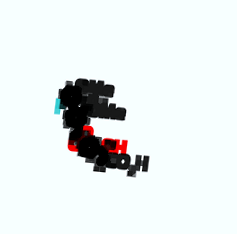 COc1ccc(F)c(-c2ccc([C@@H]3COc4ccc([C@H](O)[C@H](C)C(=O)O)cc4O3)cc2C(OC)C(C)(C)C)c1